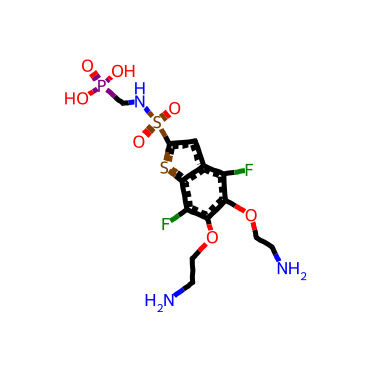 NCCOc1c(OCCN)c(F)c2sc(S(=O)(=O)NCP(=O)(O)O)cc2c1F